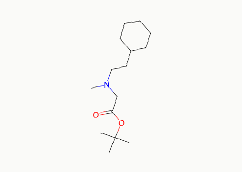 CN(CCC1CCCCC1)CC(=O)OC(C)(C)C